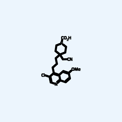 COc1ccc2ncc(Cl)c(CCCC3(CC#N)CCN(C(=O)O)CC3)c2c1